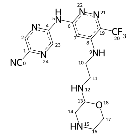 N#Cc1cnc(Nc2cc(NCCNC3CNCCO3)c(C(F)(F)F)nn2)cn1